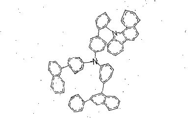 c1ccc(-c2cc(-c3cccc(N(c4ccc(-c5ccccc5-n5c6ccccc6c6ccc7ccccc7c65)cc4)c4ccc(-c5cccc6ccccc56)cc4)c3)c3ccccc3c2)cc1